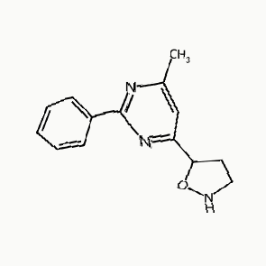 Cc1cc(C2CCNO2)nc(-c2ccccc2)n1